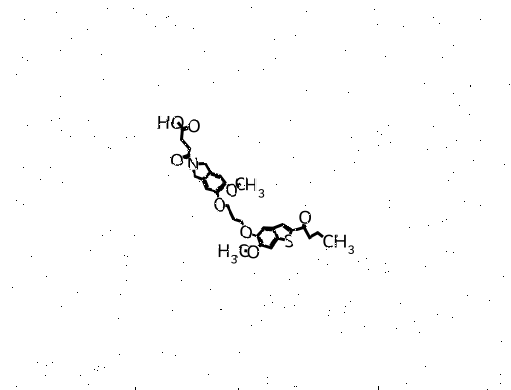 CCCC(=O)c1cc2cc(OCCCOc3cc4c(cc3OC)CN(C(=O)CCC(=O)O)C4)c(OC)cc2s1